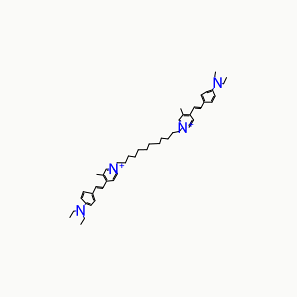 CCN(CC)c1ccc(/C=C/c2cc[n+](CCCCCCCCCCCC[n+]3ccc(/C=C/c4ccc(N(CC)CC)cc4)c(C)c3)cc2C)cc1